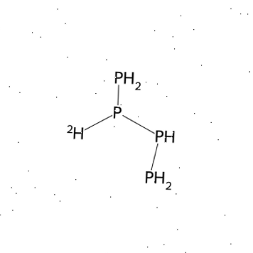 [2H]P(P)PP